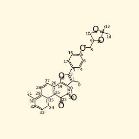 Cc1c(-c2ccc(OCC3COC(C)(C)O3)cc2)oc2c1C(=O)C(=O)c1c-2ccc2c(C)cccc12